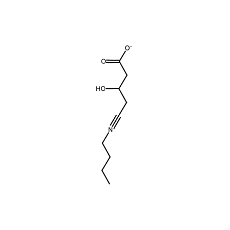 CCCC[N+]#CCC(O)CC(=O)[O-]